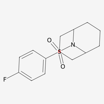 O=S(=O)(c1ccc(F)cc1)N1C2CCCC1CCC2